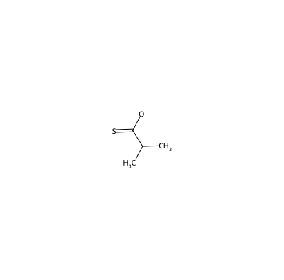 CC(C)C([O])=S